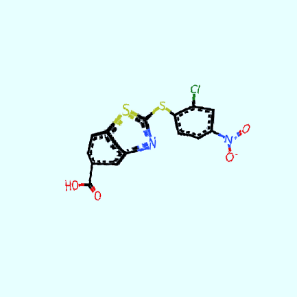 O=C(O)c1ccc2sc(Sc3ccc([N+](=O)[O-])cc3Cl)nc2c1